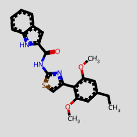 CCc1cc(OC)c(-c2csc(NC(=O)c3cc4ccccc4[nH]3)n2)c(OC)c1